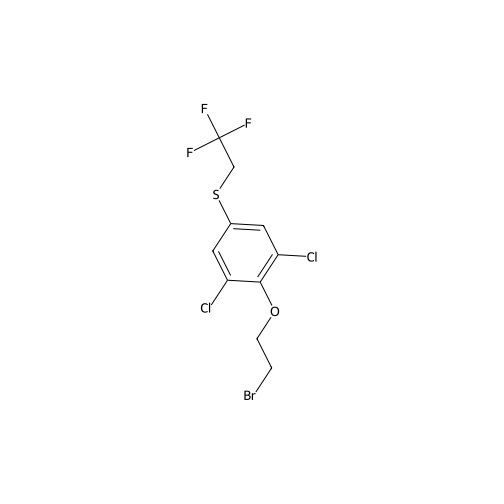 FC(F)(F)CSc1cc(Cl)c(OCCBr)c(Cl)c1